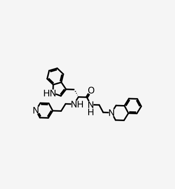 O=C(NCCN1CCc2ccccc2C1)[C@@H](Cc1c[nH]c2ccccc12)NCCc1ccncc1